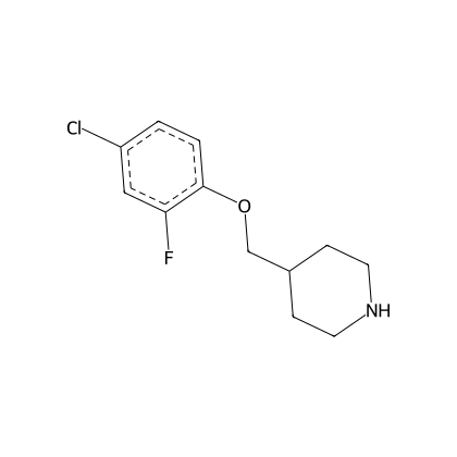 Fc1cc(Cl)ccc1OCC1CCNCC1